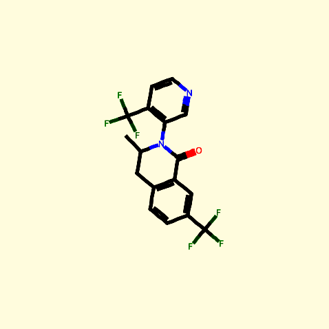 CC1Cc2ccc(C(F)(F)F)cc2C(=O)N1c1cnccc1C(F)(F)F